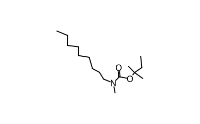 CCCCCCCCCN(C)C(=O)OC(C)(C)CC